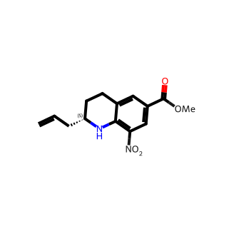 C=CC[C@@H]1CCc2cc(C(=O)OC)cc([N+](=O)[O-])c2N1